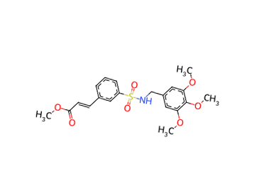 COC(=O)C=Cc1cccc(S(=O)(=O)NCc2cc(OC)c(OC)c(OC)c2)c1